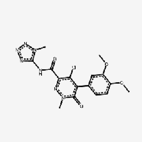 COc1ccc(-c2c(Cl)c(C(=O)Nc3nnnn3C)nn(C)c2=O)cc1OC